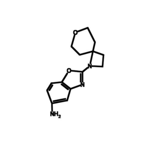 Nc1ccc2oc(N3CCC34CCOCC4)nc2c1